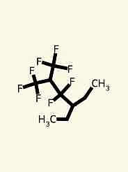 CC[C](CC)C(F)(F)C(C(F)(F)F)C(F)(F)F